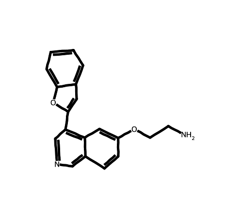 NCCOc1ccc2cncc(-c3cc4ccccc4o3)c2c1